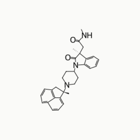 CNC(=O)C[C@]1(C)C(=O)N(C2CCN([C@@]3(C)Cc4cccc5cccc3c45)CC2)c2ccccc21